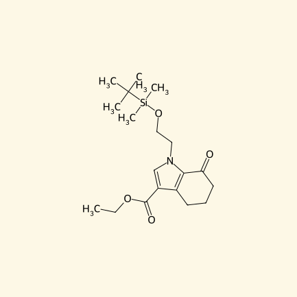 CCOC(=O)c1cn(CCO[Si](C)(C)C(C)(C)C)c2c1CCCC2=O